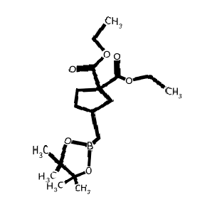 CCOC(=O)C1(C(=O)OCC)CCC(CB2OC(C)(C)C(C)(C)O2)C1